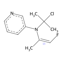 C/C(=C/F)N(c1cccnc1)C(C)(C)Cl